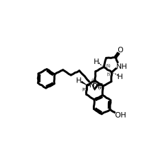 O=C1C[C@@H]2C[C@@]3(O)[C@H]4Cc5ccc(O)cc5[C@@]3(CCN4CCCc3ccccc3)C[C@@H]2N1